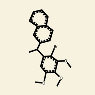 COc1cc(C(C)c2ccc3ccccc3c2)c(Br)c(OC)c1OC